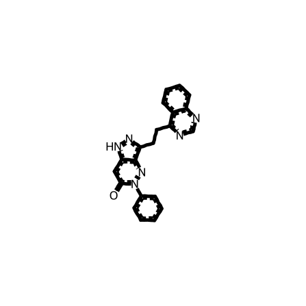 O=c1cc2[nH]nc(CCc3ncnc4ccccc34)c2nn1-c1ccccc1